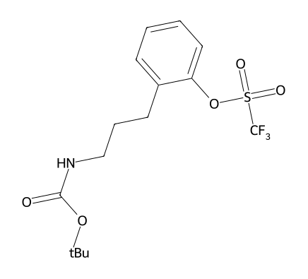 CC(C)(C)OC(=O)NCCCc1ccccc1OS(=O)(=O)C(F)(F)F